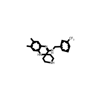 Cc1cc2c(cc1C)NC1(CCNCC1)C(NCc1cccc(C(F)(F)F)c1)=N2